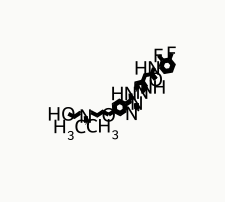 CC(C)N(CCO)CCCOc1ccc2c(Nc3cc(CC(=O)Nc4cccc(F)c4F)[nH]n3)ncnc2c1